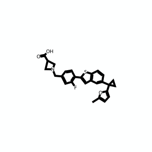 Cc1ccc(C2(c3ccc4sc(-c5ccc(CN6CC(C(=O)O)C6)cc5F)cc4c3)CC2)o1